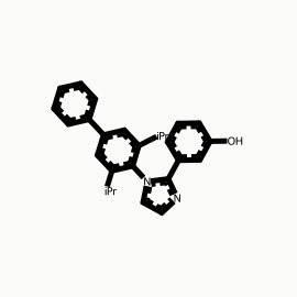 CC(C)c1cc(-c2ccccc2)cc(C(C)C)c1-n1ccnc1-c1cccc(O)c1